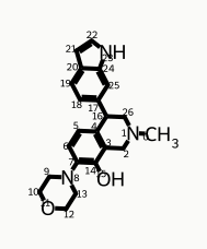 CN1Cc2c(ccc(N3CCOCC3)c2O)C(c2ccc3cc[nH]c3c2)C1